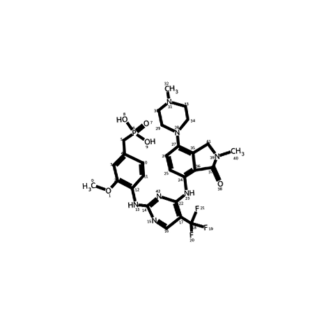 COc1cc(CP(=O)(O)O)ccc1Nc1ncc(C(F)(F)F)c(Nc2ccc(N3CCN(C)CC3)c3c2C(=O)N(C)C3)n1